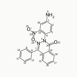 Nc1ccc(-n2nc(-c3ccccc3)c3ccccc3c2=O)c([N+](=O)[O-])c1